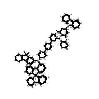 CC1(C)c2ccccc2-c2ccc(N(c3ccc(-c4ccc(-c5ccc6c(c5)B5c7ccccc7Oc7cc(-n8c9ccccc9c9ccccc98)cc(c75)O6)cc4)cc3)c3cccc4c3-c3ccccc3C43c4ccccc4-c4ccccc43)cc21